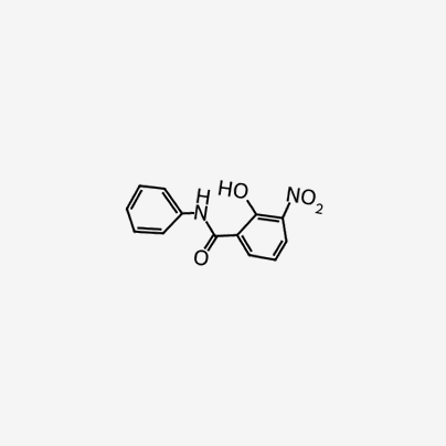 O=C(Nc1ccccc1)c1cccc([N+](=O)[O-])c1O